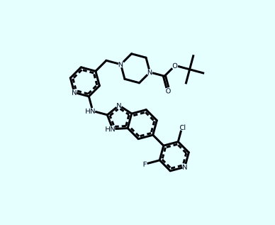 CC(C)(C)OC(=O)N1CCN(Cc2ccnc(Nc3nc4ccc(-c5c(F)cncc5Cl)cc4[nH]3)c2)CC1